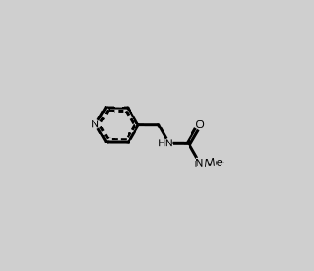 CNC(=O)NCc1ccncc1